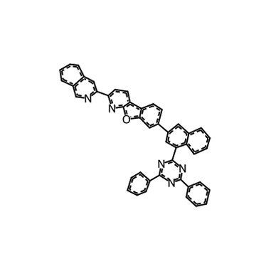 c1ccc(-c2nc(-c3ccccc3)nc(-c3cc(-c4ccc5c(c4)oc4nc(-c6cc7ccccc7cn6)ccc45)cc4ccccc34)n2)cc1